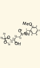 COc1ccccc1CNC(=O)CC[C@@H](O)[C@@H]1COC(C)(C)O1